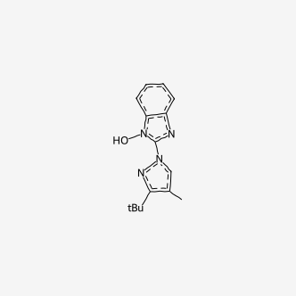 Cc1cn(-c2nc3ccccc3n2O)nc1C(C)(C)C